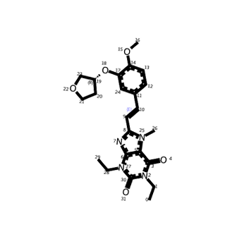 CCn1c(=O)c2c(nc(/C=C/c3ccc(OC)c(O[C@@H]4CCOC4)c3)n2C)n(CC)c1=O